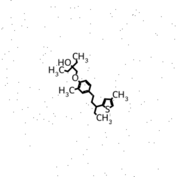 CCC(CCc1ccc(OCC(O)(CC)CC)c(C)c1)c1cc(C)cs1